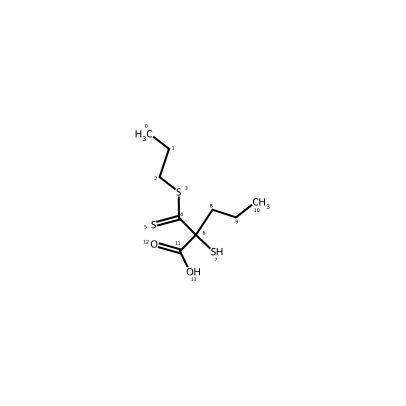 CCCSC(=S)C(S)(CCC)C(=O)O